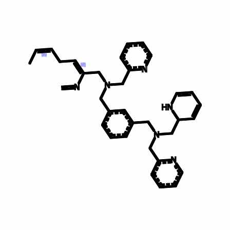 C=N/C(=C\C/C=C\C)CN(Cc1cccc(CN(Cc2ccccn2)CC2C=CC=CN2)c1)Cc1ccccn1